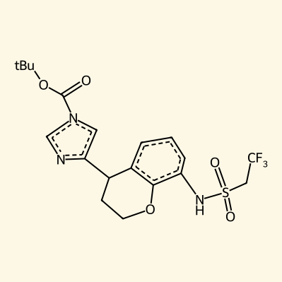 CC(C)(C)OC(=O)n1cnc(C2CCOc3c(NS(=O)(=O)CC(F)(F)F)cccc32)c1